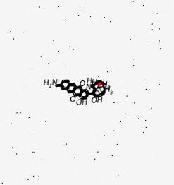 CC(C)[C@@]12O[C@]13c1cc(O)c4c(c1N[C@H]2C#C/C=C\C#C[C@H]3O)C(=O)c1cc2ccc(CN)cc2cc1C4=O